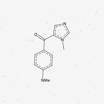 CNc1ccc(C(=O)c2cncn2C)cc1